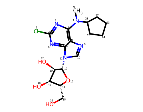 CN(c1nc(Cl)nc2c1ncn2[C@@H]1O[C@H](CO)[C@@H](O)[C@H]1O)C1CCCC1